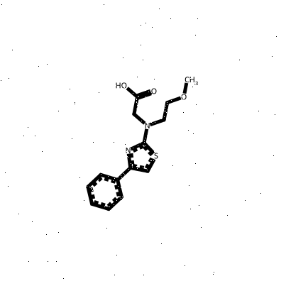 COCCN(CC(=O)O)c1nc(-c2ccccc2)cs1